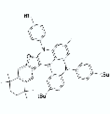 Cc1cc2c3c(c1)N(c1ccc(C(C)(C)C)cc1)c1oc4cc5c(cc4c1B3c1cc(C(C)(C)C)ccc1N2c1ccc(C(C)(C)C)cc1)C(C)(C)CCC5(C)C